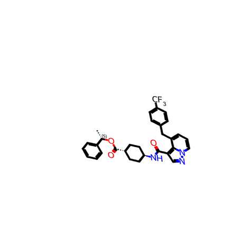 C[C@H](OC(=O)[C@H]1CC[C@H](NC(=O)c2cnn3cccc(Cc4ccc(C(F)(F)F)cc4)c23)CC1)c1ccccc1